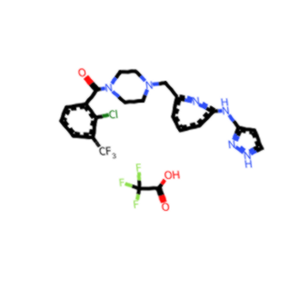 O=C(O)C(F)(F)F.O=C(c1cccc(C(F)(F)F)c1Cl)N1CCN(Cc2cccc(Nc3cc[nH]n3)n2)CC1